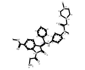 COC(=O)c1ccc2c(c1)N(C(=O)CN)C(=O)/C2=C(\Nc1ccc(N(C)C(=O)CN2CCN(C)CC2)cc1)c1ccccc1